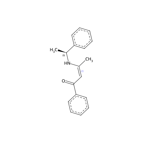 C/C(=C/C(=O)c1ccccc1)N[C@@H](C)c1ccccc1